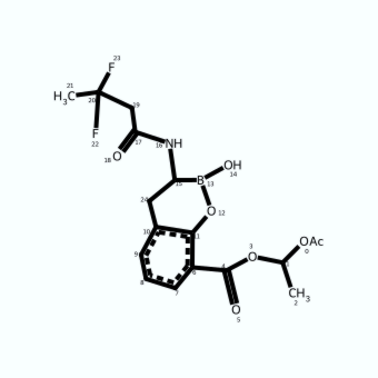 CC(=O)OC(C)OC(=O)c1cccc2c1OB(O)C(NC(=O)CC(C)(F)F)C2